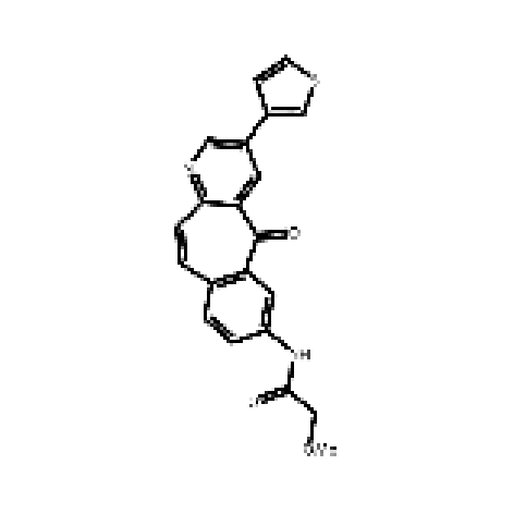 COCC(=O)Nc1ccc2ccc3ncc(-c4ccsc4)cc3c(=O)c2c1